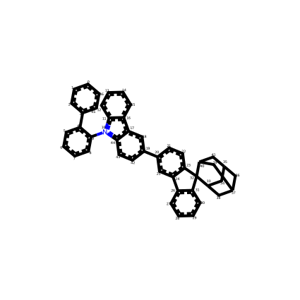 c1ccc(-c2ccccc2-n2c3ccccc3c3cc(-c4ccc5c(c4)-c4ccccc4C54C5CC6CC(C5)CC4C6)ccc32)cc1